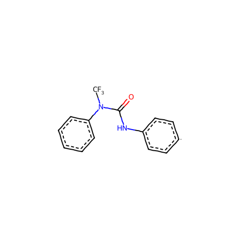 O=C(Nc1cc[c]cc1)N(c1ccccc1)C(F)(F)F